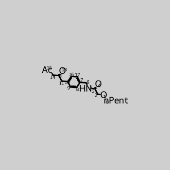 CCCCCOCC(=O)NCc1ccc(CC(=O)CC(C)=O)cc1